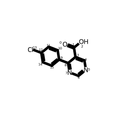 O=C(O)c1cncnc1-c1ccc(Cl)cc1